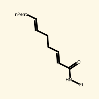 CCCCCC=CCCC=CC(=O)NCC